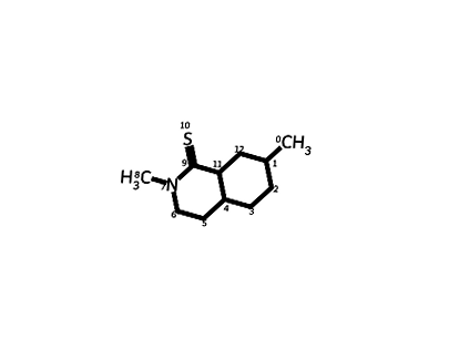 CC1CCC2CCN(C)C(=S)C2C1